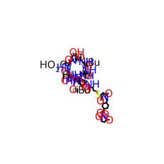 CCC(C)[C@@H]1NC(=O)[C@@H]2C[C@@H](O)CN2C(=O)[C@H](CC(=O)O)NC(=O)[C@@H]2CSc3[nH]c4ccc(NC(=O)CCCSC5CC(=O)N(CC6CCC(C(=O)ON7C(=O)CCC7=O)CC6)C5=O)cc4c3C[C@@H](NC1=O)C(=O)NCC(=O)N[C@@H]([C@@H](C)CC)C(=O)NCC(=O)N2